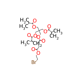 C=C(C)C(=O)OCC(COC(=O)CCC(=O)OCCBr)(COC(=O)C(=C)C)COC(=O)C(=C)C